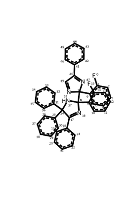 Fc1ccccc1C1(C2(c3ccccc3F)N=C(c3ccccc3)C(c3ccccc3)(c3ccccc3)N2)N=CC(c2ccccc2)=N1